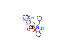 O=C(O)Nc1nc2cc(C3(OC(=O)C(F)(F)F)c4ccccc4C(=O)N3CCc3ccccc3)ccc2[nH]1